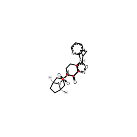 O=C(N[C@H]1C[C@H]2CC[C@@H](C1)N2S(=O)(=O)N1CCC(Nc2ncccn2)CC1)c1cc(C2CC2)on1